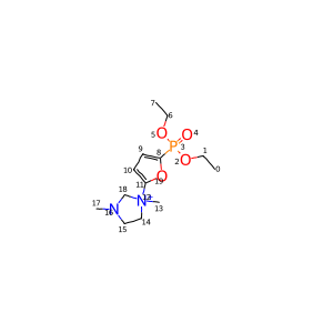 CCOP(=O)(OCC)c1ccc([N+]2(C)CCN(C)C2)o1